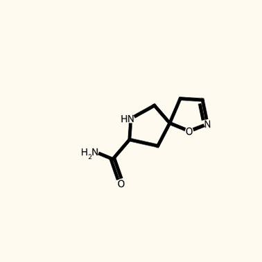 NC(=O)C1CC2(CC=NO2)CN1